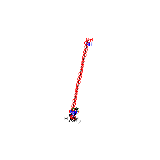 CC(C)(C)OC(=O)[C@H](Cc1ccc(NC(=O)c2c(Cl)cccc2Cl)cc1)NC(=O)C1(CCNC(=O)CCOCCOCCOCCOCCOCCOCCOCCOCCOCCOCCOCCOCCOCCOCCOCCOCCOCCOCCOCCOCCOCCOCCOCCOCCNC(=O)CCC(=O)O)CCCC1